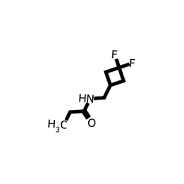 CCC(=O)NCC1CC(F)(F)C1